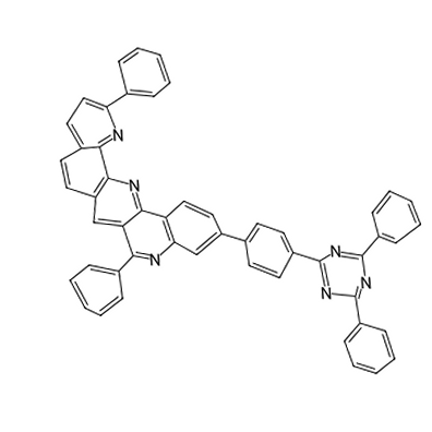 c1ccc(-c2ccc3ccc4cc5c(-c6ccccc6)nc6cc(-c7ccc(-c8nc(-c9ccccc9)nc(-c9ccccc9)n8)cc7)ccc6c5nc4c3n2)cc1